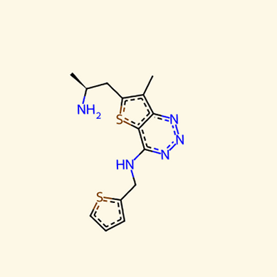 Cc1c(C[C@H](C)N)sc2c(NCc3cccs3)nnnc12